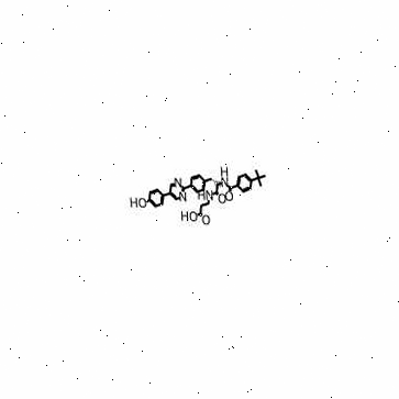 CC(C)(C)c1ccc(C(=O)N[C@@H](Cc2ccc(-c3ncc(-c4ccc(O)cc4)cn3)cc2)C(=O)NCCC(=O)O)cc1